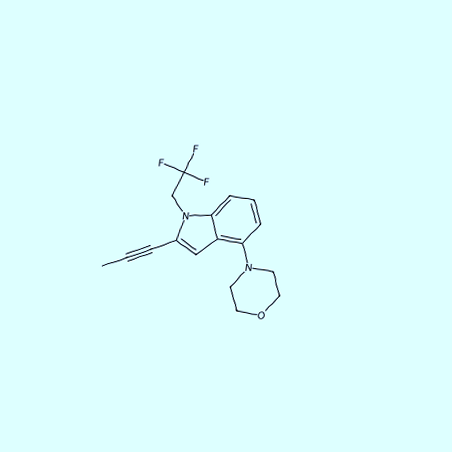 CC#Cc1cc2c(N3CCOCC3)cccc2n1CC(F)(F)F